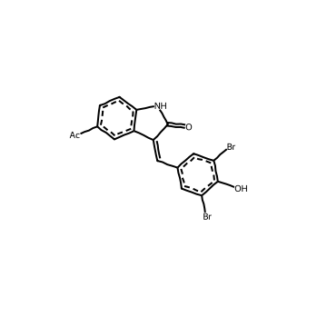 CC(=O)c1ccc2c(c1)C(=Cc1cc(Br)c(O)c(Br)c1)C(=O)N2